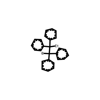 [B]C(c1ccccc1)(c1ccccc1)C(CC)(c1ccccc1)c1ccccc1